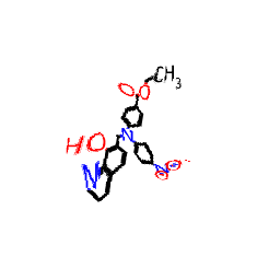 CCOC(=O)c1ccc(N(Cc2ccc3cccnc3c2O)c2ccc([N+](=O)[O-])cc2)cc1